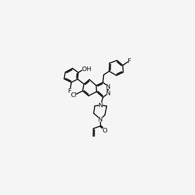 C=CC(=O)N1CCN(c2nnc(Cc3ccc(F)cc3)c3cc(-c4c(O)cccc4F)c(Cl)cc23)CC1